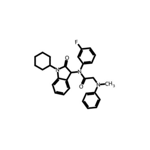 CN(CC(=O)N(c1cccc(F)c1)C1C(=O)N(C2CCCCC2)c2ccccc21)c1ccccc1